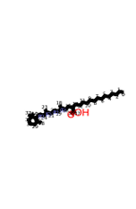 CCCCCCCCCCCCCCC(C/C=C(C)/C=C/C=C(C)/C=C/C1=C(C)CCCC1(C)C)C(=O)O